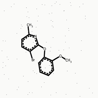 COc1ccccc1Oc1nc(C)ccc1Br